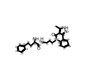 Cc1[nH]nc2c1c(=O)n(CCCNC(=O)C(N)CCc1ccccc1)c1ccccc21